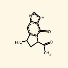 CC(=O)C1CC(C)c2cc3nc[nH]c3c(=O)n21